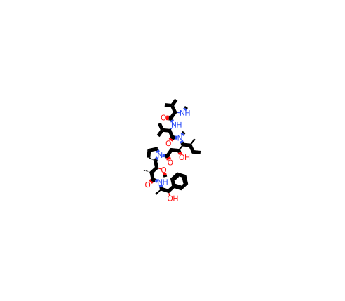 CC[C@H](C)[C@@H](C(O)CC(=O)N1CCC[C@H]1[C@H](OC)[C@@H](C)C(=O)N[C@H](C)[C@@H](O)c1ccccc1)N(C)C(=O)[C@@H](NC(=O)[C@@H](NC)C(C)C)C(C)C